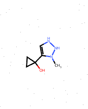 CN1NNC=C1C1(O)CC1